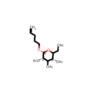 C=CCCCO[C@@H]1OC(COC(C)=O)[C@H](OC(C)=O)C(OC(C)=O)[C@@H]1OC(C)=O